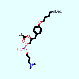 CCCCCCCCCCCCCCOc1ccc(CC(COP(O)OCCCN(C)C)OC(=O)CC)cc1